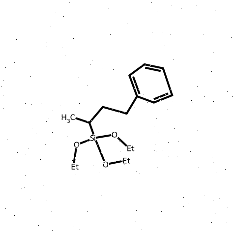 CCO[Si](OCC)(OCC)C(C)CCc1ccccc1